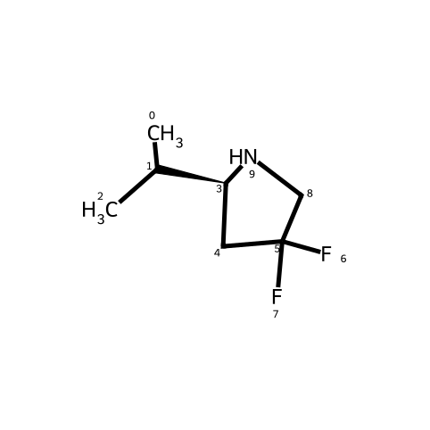 CC(C)[C@@H]1CC(F)(F)CN1